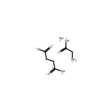 NCC(=O)O.O=C([O-])CCC(=O)O.[Na+]